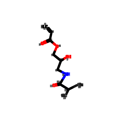 C=CC(=O)OCC(O)CNC(=O)C(C(C)(C)C)C(C)(C)C